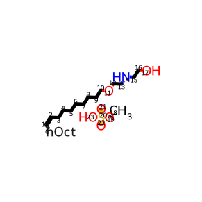 CCCCCCCC/C=C\CCCCCCCCOCCNCCO.COS(=O)(=O)O